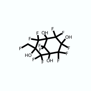 OC1(F)C(F)(F)C2(O)C(F)(F)C(O)(CF)C(F)(F)C(O)(C1(F)F)C2(F)F